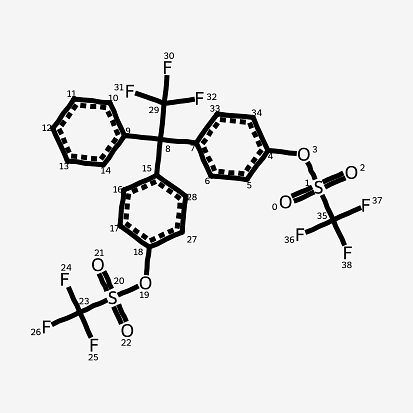 O=S(=O)(Oc1ccc(C(c2ccccc2)(c2ccc(OS(=O)(=O)C(F)(F)F)cc2)C(F)(F)F)cc1)C(F)(F)F